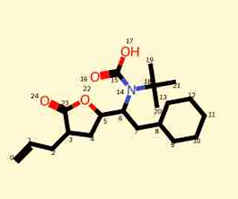 C=CCC1CC(C(CC2CCCCC2)N(C(=O)O)C(C)(C)C)OC1=O